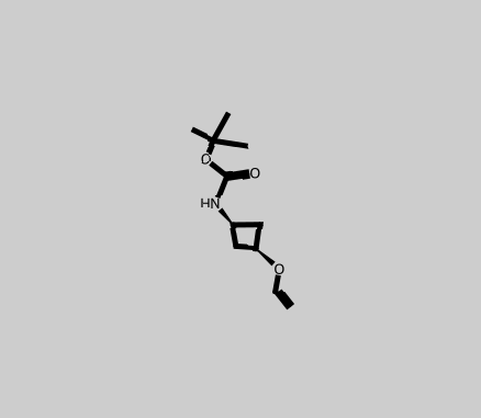 C=CO[C@H]1C[C@@H](NC(=O)OC(C)(C)C)C1